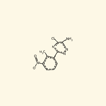 Cc1c(-c2nnc(N)c(Cl)n2)cccc1[N+](=O)[O-]